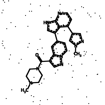 CN1CCN(C(=O)c2cnn3ccc(-c4c[nH]c5nccc(-c6cnn(C)c6)c45)cc23)CC1